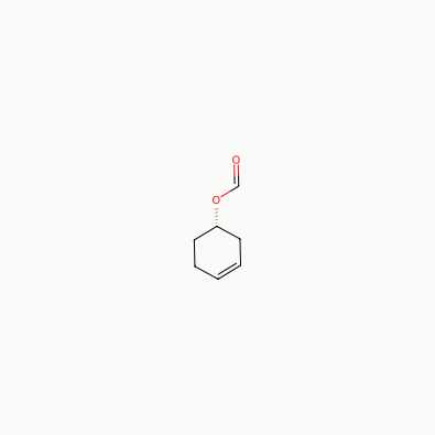 O=CO[C@@H]1CC=CCC1